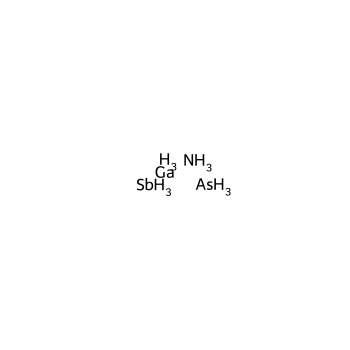 N.[AsH3].[GaH3].[SbH3]